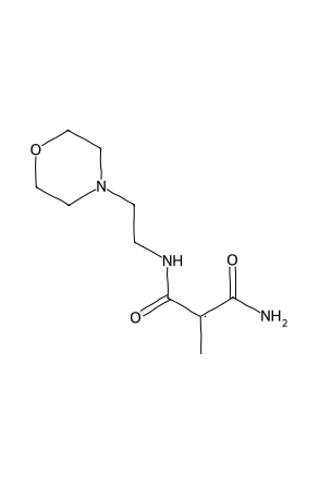 C[C](C(N)=O)C(=O)NCCN1CCOCC1